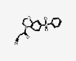 N#CCC(=O)N1CCOc2cc(S(=O)(=O)c3ccccc3)ccc21